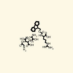 CC(N)C(=O)O.N=C(N)NCCCC(NC(=O)OCC1c2ccccc2-c2ccccc21)C(=O)O.NC(CC(=O)O)C(=O)O.NCC(=O)O